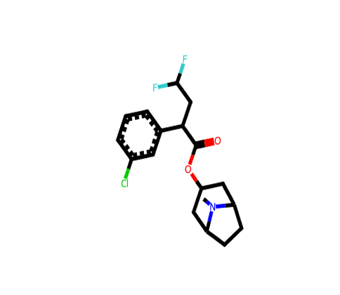 CN1C2CCC1CC(OC(=O)C(CC(F)F)c1cccc(Cl)c1)C2